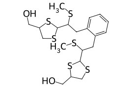 CSC(Cc1ccccc1CC(SC)C1SCC(CO)S1)C1SCC(CO)S1